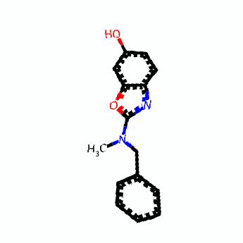 CN(Cc1ccccc1)c1nc2ccc(O)cc2o1